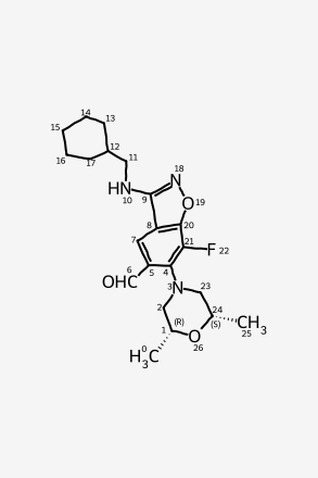 C[C@@H]1CN(c2c(C=O)cc3c(NCC4CCCCC4)noc3c2F)C[C@H](C)O1